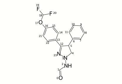 O=CNN1CC(c2ccccc2)C(c2ccc(OC(F)F)cc2)=N1